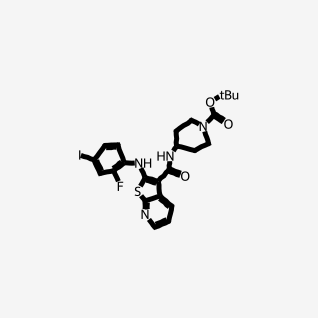 CC(C)(C)OC(=O)N1CCC(NC(=O)c2c(Nc3ccc(I)cc3F)sc3ncccc23)CC1